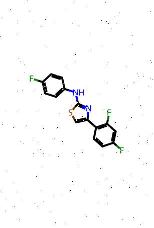 Fc1ccc(Nc2nc(-c3ccc(F)cc3F)cs2)cc1